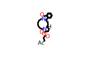 CC(=O)CCC(=O)O[C@@H]1CC[C@H]2C/C=C3/c4ccccc4C(=O)N3CCCCCC(=O)N21